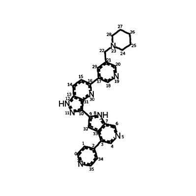 c1cc(-c2cncc3[nH]c(-c4n[nH]c5ccc(-c6cncc(CN7CCCCC7)c6)nc45)cc23)ccn1